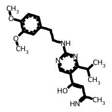 COc1ccc(CCNc2ncc(/C(O)=C/C(C)=N)c(C(C)C)n2)cc1OC